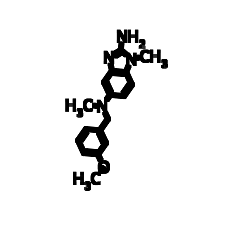 COc1cccc(CN(C)c2ccc3c(c2)nc(N)n3C)c1